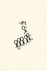 [C]=O.[C]=O.[C]=O.[C]=O.[C]=O.[C]=O.[Pt]